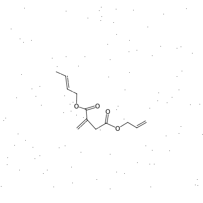 C=CCOC(=O)CC(=C)C(=O)OCC=CC